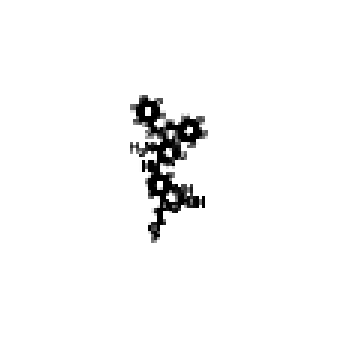 COCCOc1ccc(Nc2ncnc(N(Cc3ccccc3)Cc3ccccc3)c2N)cc1NC(=O)O